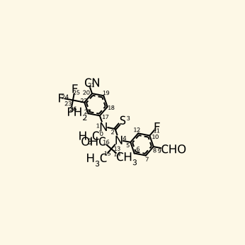 CN(C(=S)N(c1ccc(C=O)c(F)c1)C(C)(C)C=O)c1ccc(C#N)c(C(F)(F)P)c1